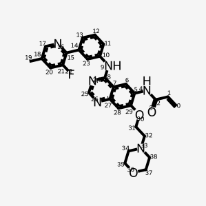 C=CC(=O)Nc1cc2c(Nc3cccc(-c4ncc(C)cc4F)c3)ncnc2cc1OCCN1CCOCC1